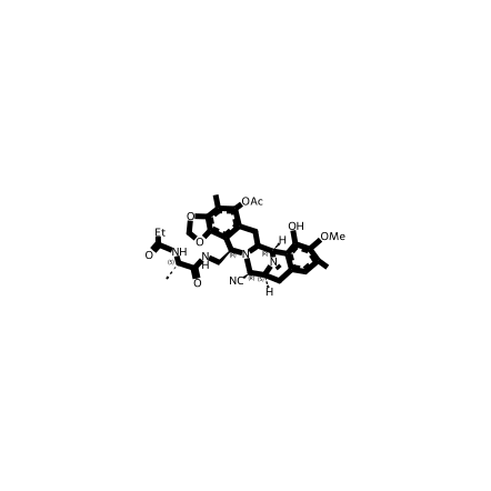 CCC(=O)N[C@@H](C)C(=O)NC[C@H]1c2c(c(OC(C)=O)c(C)c3c2OCO3)CC2[C@H]3c4c(cc(C)c(OC)c4O)C[C@@H]([C@H](C#N)N21)N3C